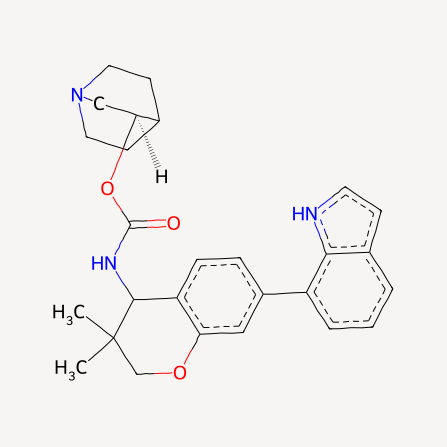 CC1(C)COc2cc(-c3cccc4cc[nH]c34)ccc2C1NC(=O)O[C@H]1CN2CCC1CC2